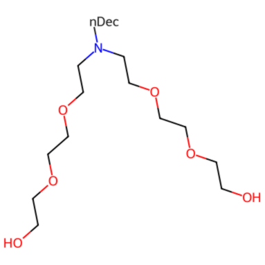 CCCCCCCCCCN(CCOCCOCCO)CCOCCOCCO